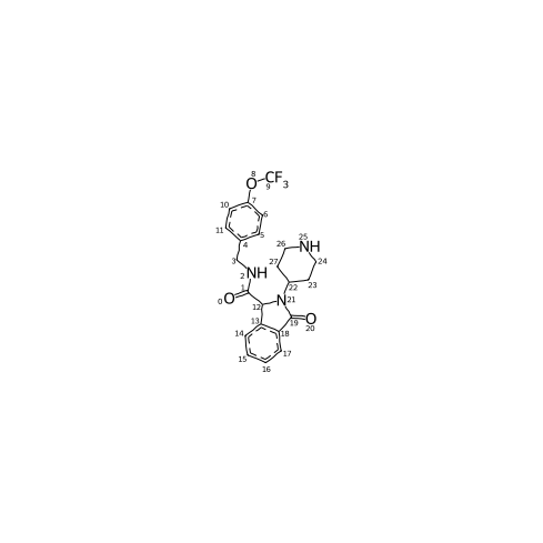 O=C(NCc1ccc(OC(F)(F)F)cc1)C1c2ccccc2C(=O)N1C1CCNCC1